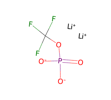 O=P([O-])([O-])OC(F)(F)F.[Li+].[Li+]